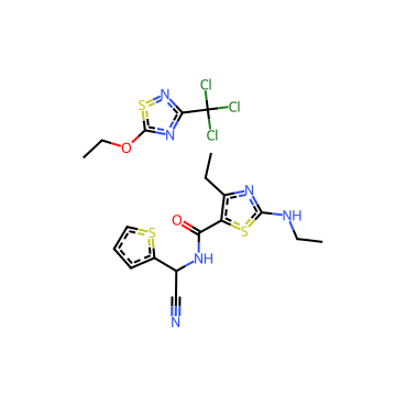 CCNc1nc(CC)c(C(=O)NC(C#N)c2cccs2)s1.CCOc1nc(C(Cl)(Cl)Cl)ns1